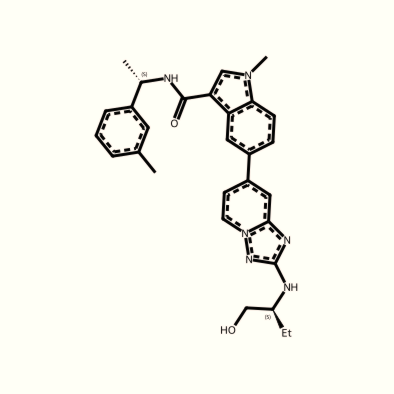 CC[C@@H](CO)Nc1nc2cc(-c3ccc4c(c3)c(C(=O)N[C@@H](C)c3cccc(C)c3)cn4C)ccn2n1